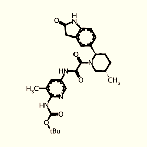 Cc1cc(NC(=O)C(=O)N2C[C@@H](C)CC[C@@H]2c2ccc3c(c2)CC(=O)N3)cnc1NC(=O)OC(C)(C)C